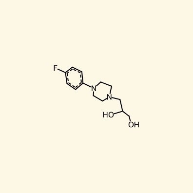 OCC(O)CN1CCN(c2ccc(F)cc2)CC1